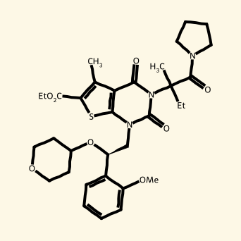 CCOC(=O)c1sc2c(c1C)c(=O)n(C(C)(CC)C(=O)N1CCCC1)c(=O)n2C[C@H](OC1CCOCC1)c1ccccc1OC